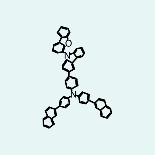 c1ccc2cc(-c3ccc(N(c4ccc(-c5ccc6ccccc6c5)cc4)c4ccc(-c5ccc6c(c5)c5ccccc5n6-c5cccc6c5oc5ccccc56)cc4)cc3)ccc2c1